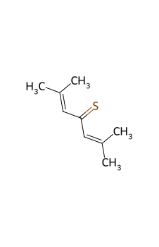 CC(C)=CC(=S)C=C(C)C